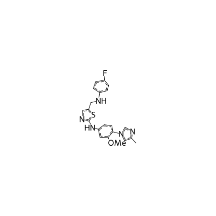 COc1cc(Nc2ncc(CNc3ccc(F)cc3)s2)ccc1-n1cnc(C)c1